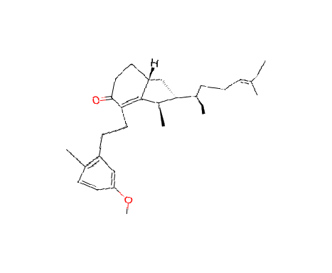 COc1ccc(C)c(CCC2=C3[C@H](CCC2=O)C[C@H]([C@H](C)CCC=C(C)C)[C@H]3C)c1